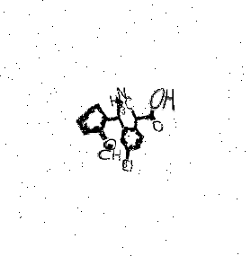 COc1ccccc1C(C#N)c1cc(Cl)ccc1C(C)C(=O)O